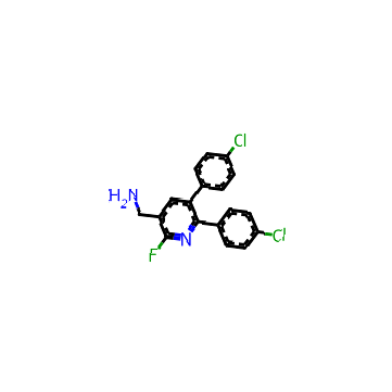 NCc1cc(-c2ccc(Cl)cc2)c(-c2ccc(Cl)cc2)nc1F